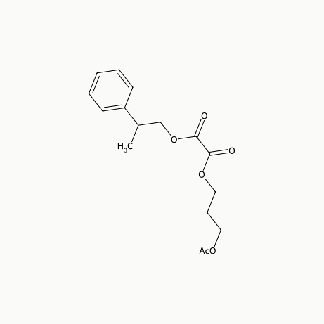 CC(=O)OCCCOC(=O)C(=O)OCC(C)c1ccccc1